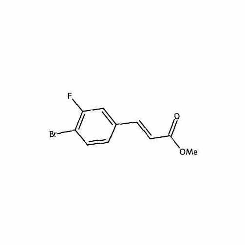 COC(=O)/C=C/c1ccc(Br)c(F)c1